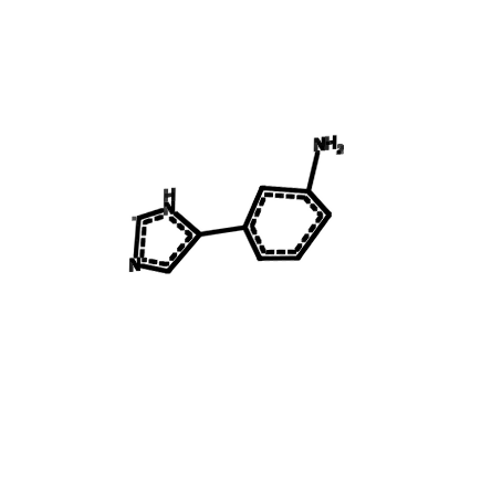 Nc1cccc(-c2cn[c][nH]2)c1